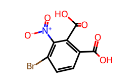 O=C(O)c1ccc(Br)c([N+](=O)[O-])c1C(=O)O